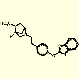 O=C(O)N1CC2C[C@H]1CN2CCc1ccc(Oc2nc3ccccc3s2)cc1